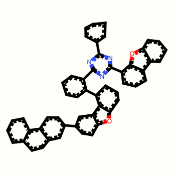 c1ccc(-c2nc(-c3ccccc3-c3cccc4oc5ccc(-c6ccc7c(ccc8ccccc87)c6)cc5c34)nc(-c3cccc4c3oc3ccccc34)n2)cc1